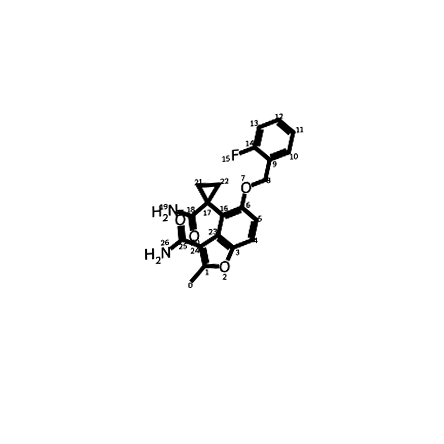 Cc1oc2ccc(OCc3ccccc3F)c(C3(C(N)=O)CC3)c2c1C(N)=O